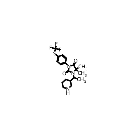 CC(C1CCCNC1)N1C(=O)N(c2ccc(SC(F)(F)F)cc2)C(=O)C1(C)C